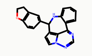 c1ccc2c(c1)NC(c1ccc3c(c1)CCO3)c1ccn3ncnc-2c13